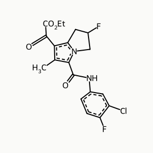 CCOC(=O)C(=O)c1c(C)c(C(=O)Nc2ccc(F)c(Cl)c2)n2c1CC(F)C2